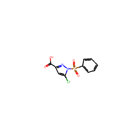 O=C(O)c1cc(Cl)n(S(=O)(=O)c2ccccc2)n1